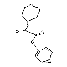 O=C(Oc1ccccc1)C(O)C1CCCCC1